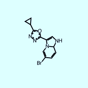 BrC1=CN2C(c3nnc(C4CC4)o3)=CNC2C=C1